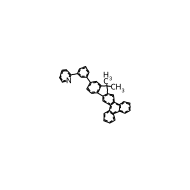 CC1(C)c2cc(-c3cccc(-c4ccccn4)c3)ccc2-c2cc3c4ccccc4c4ccccc4c3cc21